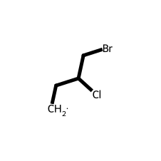 [CH2]CC(Cl)CBr